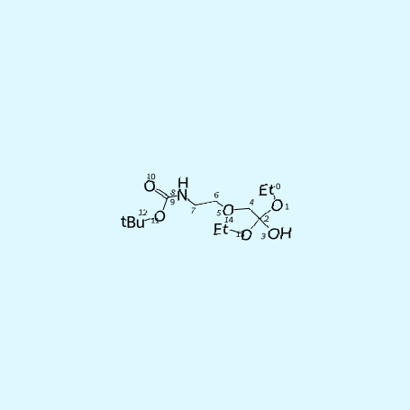 CCOC(O)(COCCNC(=O)OC(C)(C)C)OCC